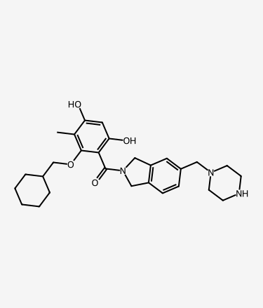 Cc1c(O)cc(O)c(C(=O)N2Cc3ccc(CN4CCNCC4)cc3C2)c1OCC1CCCCC1